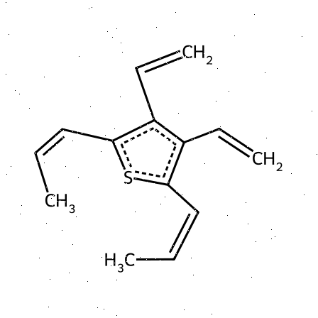 C=Cc1c(/C=C\C)sc(/C=C\C)c1C=C